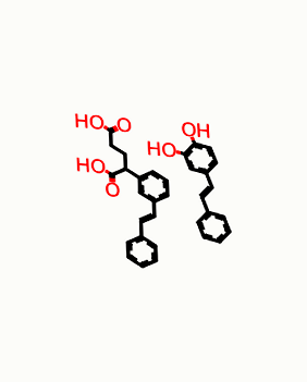 O=C(O)CCC(C(=O)O)c1cccc(C=Cc2ccccc2)c1.Oc1ccc(C=Cc2ccccc2)cc1O